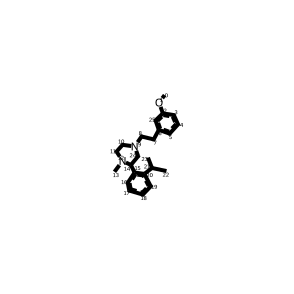 COc1cccc(CCN2CCN(C)C(c3ccccc3C(C)C)C2)c1